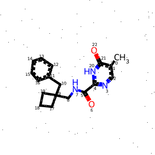 Cc1cnc(C(=O)NCC2(Cc3ccccc3)CCC2)[nH]c1=O